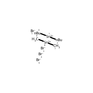 CCC[CH2][Sn+2][CH2]CCC.[Br-].[Br-].[Br-].[Br-].[CH3][Sn+2][CH3]